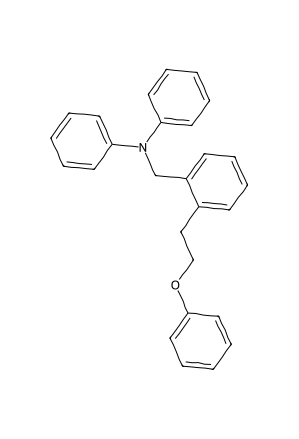 c1ccc(OCCc2ccccc2CN(c2ccccc2)c2ccccc2)cc1